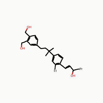 CCc1cc(C(C)(C)CCc2ccc(CO)c(CO)c2)ccc1C=CC(O)C(C)C